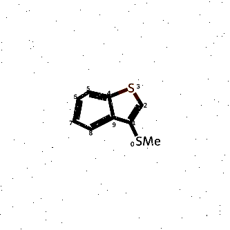 CSc1[c]sc2ccccc12